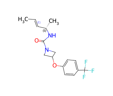 C/C=C/[C@H](C)NC(=O)N1CC(Oc2ccc(C(F)(F)F)cc2)C1